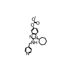 COC(=O)Oc1ccc2c(c1)nc(NCc1ccncc1)n2C1CCCCCC1